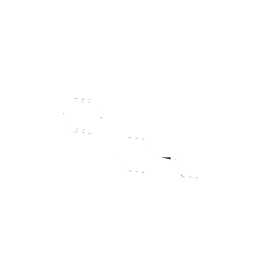 CC(C)(C)OC(=O)N[C@H]1CC[C@H](Oc2ccc(C(F)(F)F)cn2)CC1